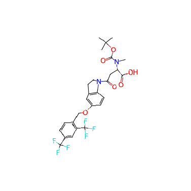 CN(C(=O)OC(C)(C)C)C(CC(=O)N1CCc2cc(OCc3ccc(C(F)(F)F)cc3C(F)(F)F)ccc21)C(=O)O